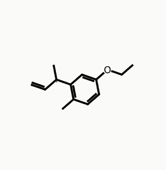 C=C[C](C)c1cc(OCC)ccc1C